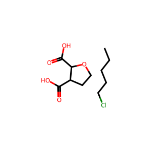 CCCCCCl.O=C(O)C1CCOC1C(=O)O